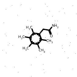 Cc1c(C)c(C)c(CC(N)=O)c(C)c1C